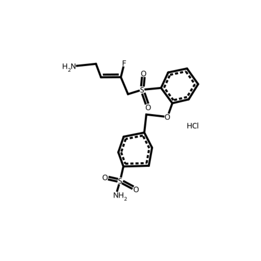 Cl.NCC=C(F)CS(=O)(=O)c1ccccc1OCc1ccc(S(N)(=O)=O)cc1